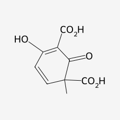 CC1(C(=O)O)C=CC(O)=C(C(=O)O)C1=O